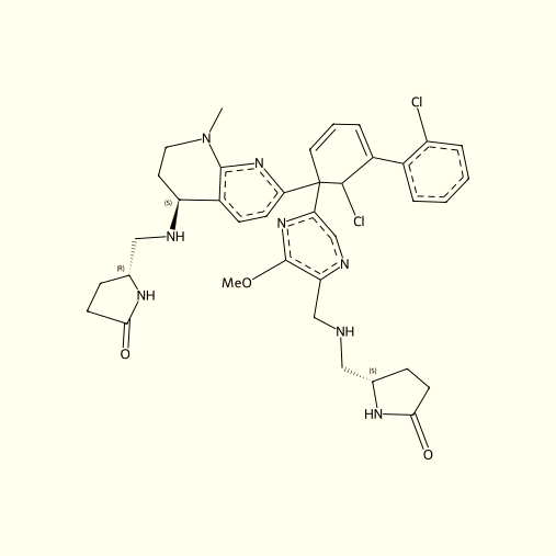 COc1nc(C2(c3ccc4c(n3)N(C)CC[C@@H]4NC[C@H]3CCC(=O)N3)C=CC=C(c3ccccc3Cl)C2Cl)cnc1CNC[C@@H]1CCC(=O)N1